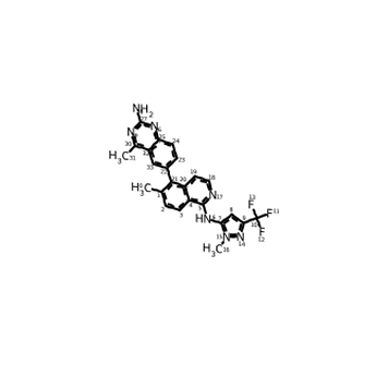 Cc1ccc2c(Nc3cc(C(F)(F)F)nn3C)nccc2c1-c1ccc2nc(N)nc(C)c2c1